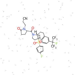 N#CCCN1C(=O)CCC1C(=O)N1CC[C@@]2(S(=O)(=O)c3ccc(F)cc3)c3ccc(C(F)(C(F)(F)F)C(F)(F)F)cc3CC[C@@H]12